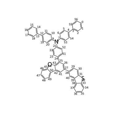 c1ccc(-c2ccc(N(c3ccc(-c4ccccc4)cc3)c3ccc(-c4cc(-c5ccc6sc7ccccc7c6c5)cc5c4oc4ccccc45)cc3)cc2)cc1